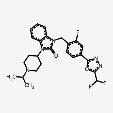 CC(C)N1CCC(n2c(=O)n(Cc3ccc(-c4nnc(C(F)F)o4)cc3F)c3ccccc32)CC1